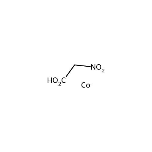 O=C(O)C[N+](=O)[O-].[Co]